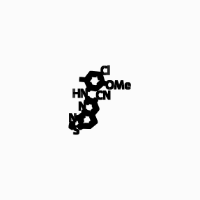 COc1cc(Nc2nc3c(ccc4scnc43)cc2C#N)c(C)cc1Cl